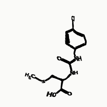 CSCC(NC(=O)Nc1ccc(Cl)cc1)C(=O)O